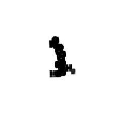 C[C@]12CC[C@H](OC(=O)C(N)CC(=O)O)CC1=CCC1C2CC[C@]2(C)C(n3cnc4ccccc43)=CCC12